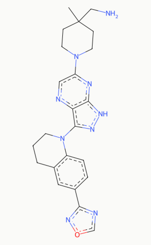 CC1(CN)CCN(c2cnc3c(N4CCCc5cc(-c6ncon6)ccc54)n[nH]c3n2)CC1